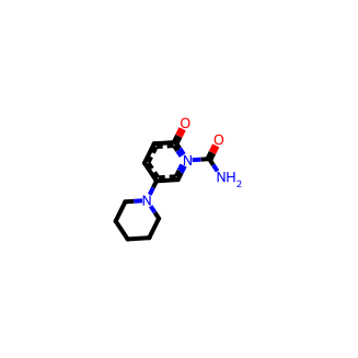 NC(=O)n1cc(N2CCCCC2)ccc1=O